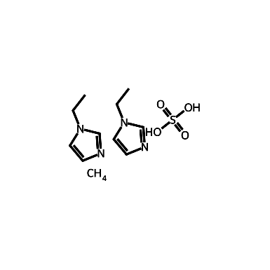 C.CCn1ccnc1.CCn1ccnc1.O=S(=O)(O)O